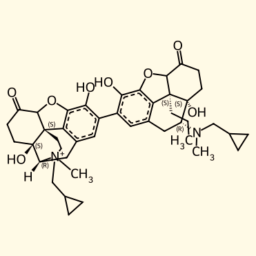 CCC[C@]12c3c4cc(-c5cc6c7c(c5O)OC5C(=O)CC[C@@]8(O)[C@@H](C6)[N+](C)(CC6CC6)CC[C@]758)c(O)c3OC1C(=O)CC[C@@]2(O)[C@H](N(C)CC1CC1)C4